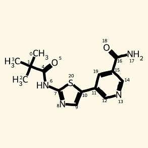 CC(C)(C)C(=O)Nc1ncc(-c2cncc(C(N)=O)c2)s1